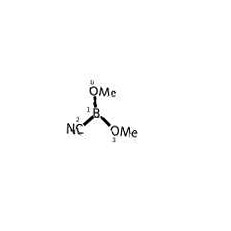 COB(C#N)OC